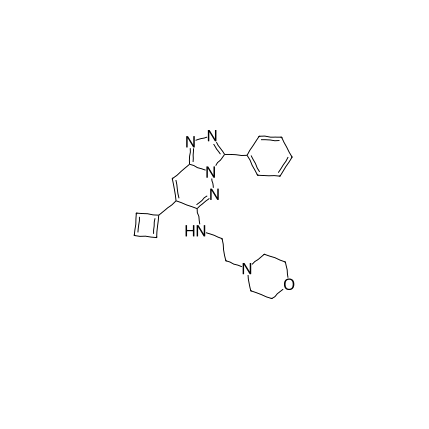 C1=CC(c2cc3nnc(-c4ccccc4)n3nc2NCCN2CCOCC2)=C1